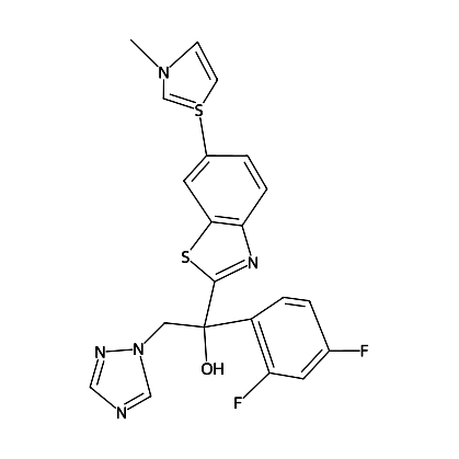 CN1C=CS(c2ccc3nc(C(O)(Cn4cncn4)c4ccc(F)cc4F)sc3c2)=C1